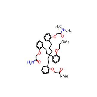 CNC(=O)COc1ccccc1CCC(CCCc1ccccc1OCC(=O)N(C)C)(CCc1ccccc1OCC(N)=O)c1ccccc1OCCOC